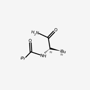 CC[C@H](C)[C@H](NC(=O)C(C)C)C(N)=O